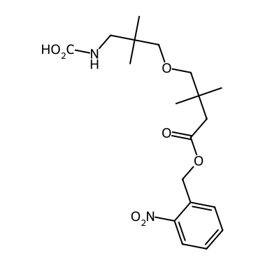 CC(C)(CNC(=O)O)COCC(C)(C)CC(=O)OCc1ccccc1[N+](=O)[O-]